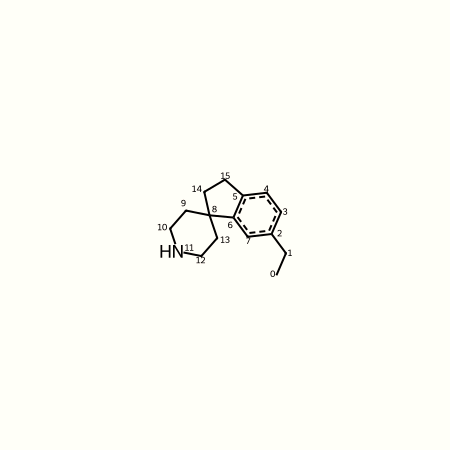 CCc1ccc2c(c1)C1(CCNCC1)CC2